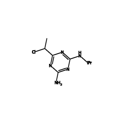 CC(C)Nc1nc(N)nc(C(C)Cl)n1